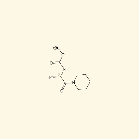 CC(C)[C@H](NC(=O)OC(C)(C)C)C(=O)N1CCCCC1